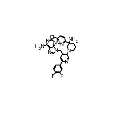 Nc1ncnc2c1ncn2Cc1cc(-c2ccc(F)c(F)c2)ncc1N1CCCC(N)(c2ccc(Cl)nn2)C1